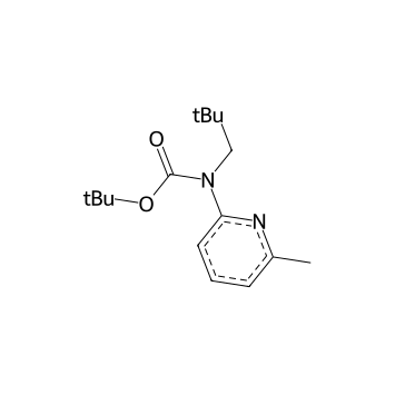 Cc1cccc(N(CC(C)(C)C)C(=O)OC(C)(C)C)n1